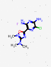 CN(C)c1nc(-c2nc(Cl)c(N)nc2N)o[n+]1C.[I-]